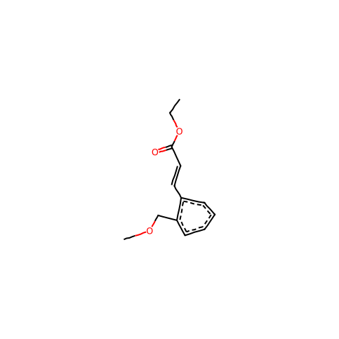 CCOC(=O)C=Cc1ccccc1COC